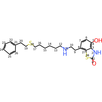 O=c1[nH]c2c(O)ccc(CCNCCCCCCSCCc3ccccc3)c2s1